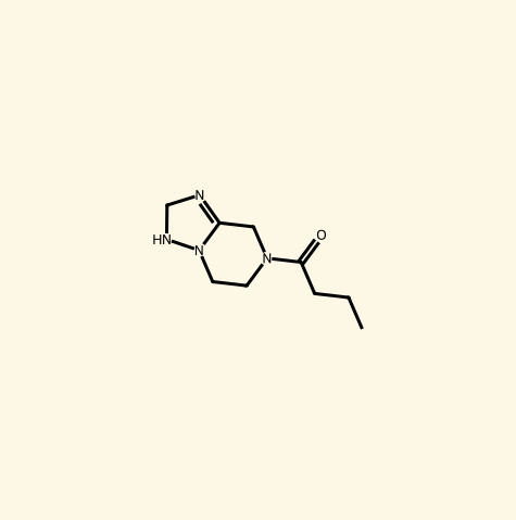 CCCC(=O)N1CCN2NCN=C2C1